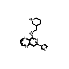 c1cnc2c(NCC3CCCNC3)nc(-c3ccoc3)cc2n1